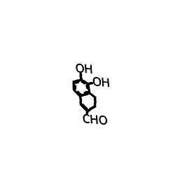 O=CC1=Cc2ccc(O)c(O)c2CC1